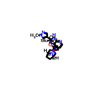 Cn1cc(-c2nc3c(N4C[C@H]5CC[C@@H](C4)N5C4CCC4O[Si](C)(C)C(C)(C)C)ccnc3[nH]2)cn1